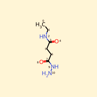 CCNC(=O)CCC(=O)NN